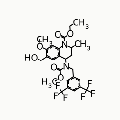 CCOC(=O)N1c2cc(OC)c(CO)cc2C(N(Cc2cc(C(F)(F)F)cc(C(F)(F)F)c2)C(=O)OC)CC1C